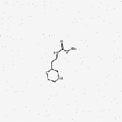 CC(C)(C)OC(=O)NCCC1CNCCO1